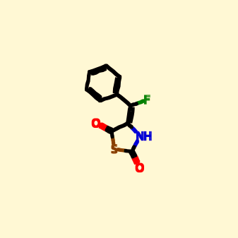 O=C1NC(=C(F)c2ccccc2)C(=O)S1